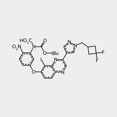 CC(C)(C)OC(=O)N(C(=O)O)c1cc(Oc2ccc3ncc(-c4cnn(CC5CC(F)(F)C5)c4)nc3c2I)ccc1[N+](=O)[O-]